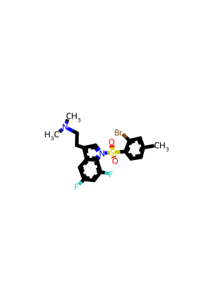 Cc1ccc(S(=O)(=O)n2cc(CCN(C)C)c3cc(F)cc(F)c32)c(Br)c1